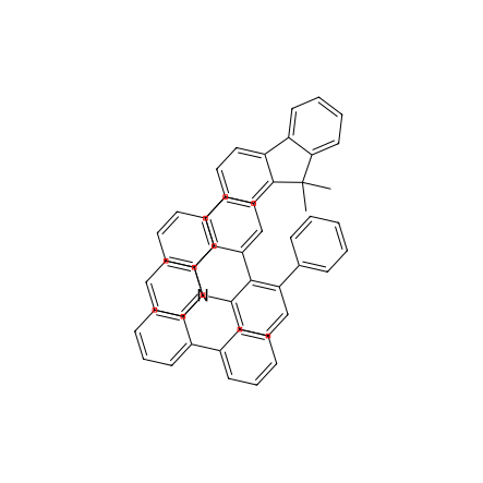 CC1(C)c2ccccc2-c2ccc(-c3cccc(N(c4ccccc4-c4ccccc4)c4cccc(-c5ccccc5)c4-c4ccccc4-c4ccccc4)c3)cc21